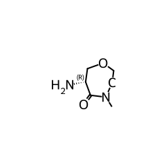 CN1CCOC[C@@H](N)C1=O